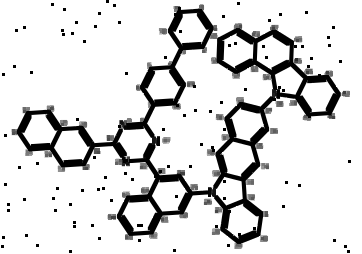 c1ccc(-c2ccc(-c3nc(-c4ccc5ccccc5c4)nc(-c4cc(-n5c6ccccc6c6cc7cc(-n8c9ccccc9c9ccc%10ccccc%10c98)ccc7cc65)cc5ccccc45)n3)cc2)cc1